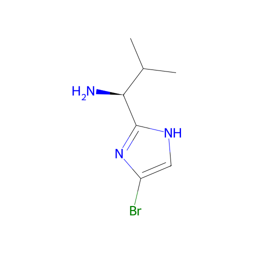 CC(C)[C@H](N)c1nc(Br)c[nH]1